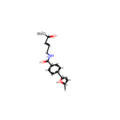 COC(=O)/C=C/CNC(=O)c1ccc(-c2ccc(C)o2)cc1